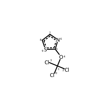 ClC(Cl)(Cl)Oc1n[c]cs1